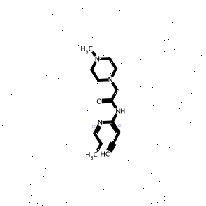 C#C/C=C(\N=C/CC)NC(=O)CN1CCN(C)CC1